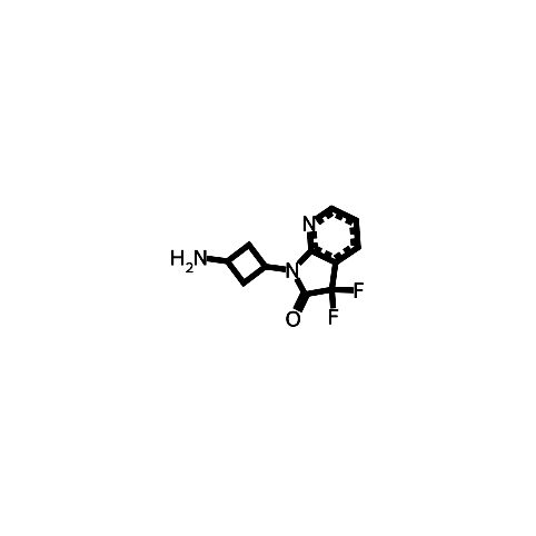 NC1CC(N2C(=O)C(F)(F)c3cccnc32)C1